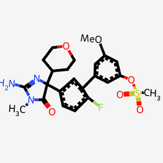 COc1cc(OS(C)(=O)=O)cc(-c2cc(C3(C4CCOCC4)N=C(N)N(C)C3=O)ccc2F)c1